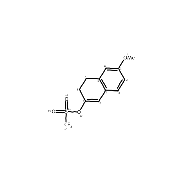 COc1ccc2c(c1)CCC(OS(=O)(=O)C(F)(F)F)=C2